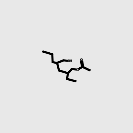 CCCC(CO)CC(CC)COC(C)=O